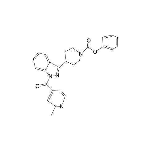 Cc1cc(C(=O)n2nc(C3CCN(C(=O)Oc4ccccc4)CC3)c3ccccc32)ccn1